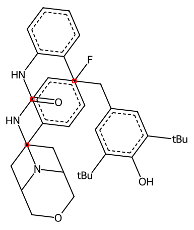 CC(C)(C)c1cc(CCc2ccccc2NC(=O)NC2CC3COCC(C2)N3Cc2ccc(F)cc2)cc(C(C)(C)C)c1O